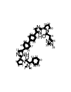 CN(C)[C@@H](C(=O)N1CCC[C@H]1c1ncc(-c2ccc(-c3ccc(-c4cnc([C@@H]5CCCN5C(=O)Cc5cn(C)cn5)[nH]4)cc3)cc2)[nH]1)c1ccccc1